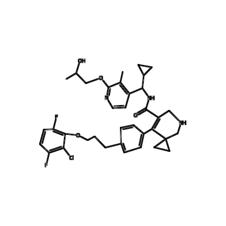 Cc1c(C(NC(=O)C2=C(c3ccc(CCCOc4c(F)ccc(F)c4Cl)cc3)C3(CC3)CNC2)C2CC2)ccnc1OCC(C)O